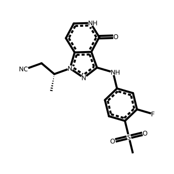 C[C@H](CC#N)n1nc(Nc2ccc(S(C)(=O)=O)c(F)c2)c2c(=O)[nH]ccc21